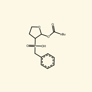 CCCCC(=O)OC1OCCC1P(=O)(O)Cc1ccccc1